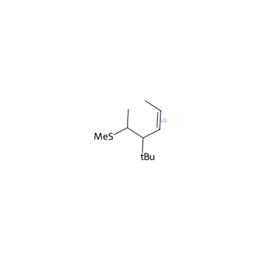 C/C=C\C(C(C)SC)C(C)(C)C